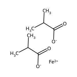 CC(C)C(=O)[O-].CC(C)C(=O)[O-].[Fe+2]